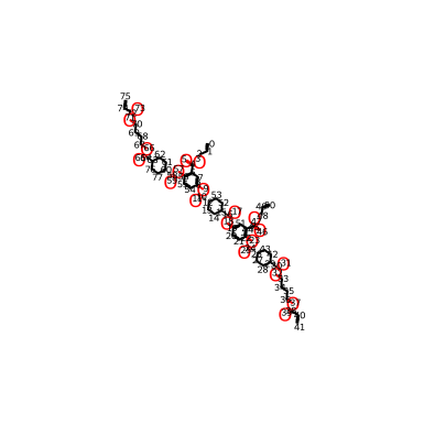 C=CCOC(=O)c1cc(OC(=O)[C@H]2CC[C@H](C(=O)Oc3ccc(OC(=O)[C@H]4CC[C@H](C(=O)OCCCCOC(=O)C=C)CC4)c(C(=O)OCC=C)c3)CC2)ccc1OC(=O)[C@H]1CC[C@H](C(=O)OCCCCOC(=O)C=C)CC1